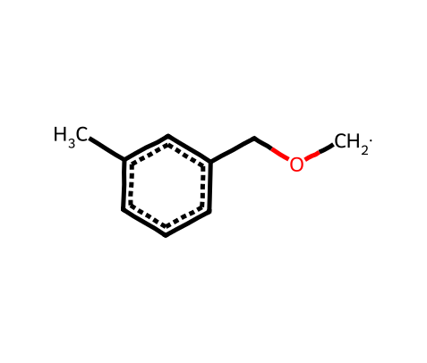 [CH2]OCc1cccc(C)c1